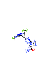 CC1(F)CN(c2cc(-c3ncn(/C=C(/C(N)=O)c4cncnc4)n3)cc(C(F)(F)F)n2)C1